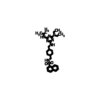 CCN(CC)c1nc(NCC2CCC(CNS(=O)(=O)c3cccc4ccccc34)CC2)nc(NC(C)C)n1